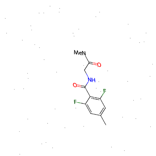 CNC(=O)CNC(=O)c1c(F)cc(C)cc1F